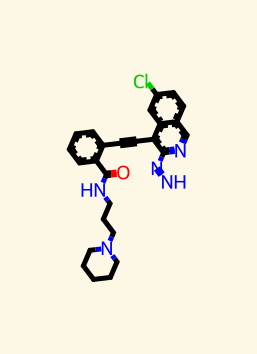 N=Nc1ncc2ccc(Cl)cc2c1C#Cc1ccccc1C(=O)NCCCN1CCCCC1